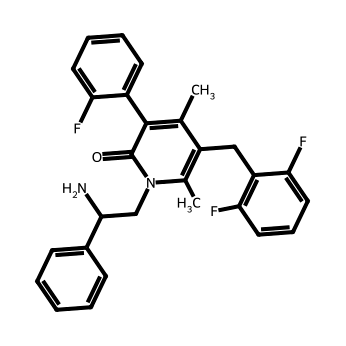 Cc1c(Cc2c(F)cccc2F)c(C)n(CC(N)c2ccccc2)c(=O)c1-c1ccccc1F